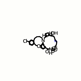 C[C@H]1C/C=C/C[C@H](O)[C@@H]2CC[C@H]2CN2CCCCc3cc(Cl)ccc3COc3ccc(cc32)C(=O)NS1(=O)=O